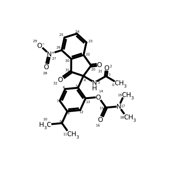 CC(=O)NC1(c2ccc(C(C)C)cc2OC(=O)N(C)C)C(=O)c2cccc([N+](=O)[O-])c2C1=O